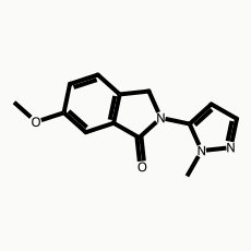 COc1ccc2c(c1)C(=O)N(c1ccnn1C)C2